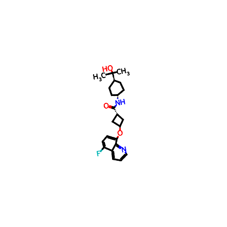 CC(C)(O)[C@H]1CC[C@H](NC(=O)[C@H]2C[C@H](Oc3ccc(F)c4cccnc34)C2)CC1